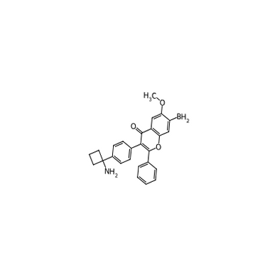 Bc1cc2oc(-c3ccccc3)c(-c3ccc(C4(N)CCC4)cc3)c(=O)c2cc1OC